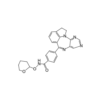 O=C(NOC1CCCCO1)c1ccc(C2=Nc3cncnc3N3CCc4cccc2c43)cc1